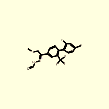 COC/C(=N\NC=O)c1ccc(-c2ccc(F)cc2F)c(C(F)(F)F)c1